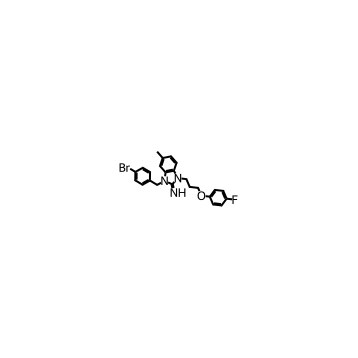 Cc1ccc2c(c1)n(Cc1ccc(Br)cc1)c(=N)n2CCCOc1ccc(F)cc1